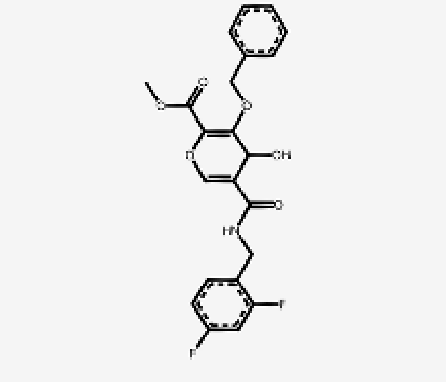 COC(=O)C1=C(OCc2ccccc2)C(O)C(C(=O)NCc2ccc(F)cc2F)=CO1